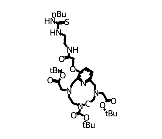 CCCCNC(=S)NCCNC(=O)COc1ccc2nc1CN(CC(=O)OC(C)(C)C)CCN(C(=O)OC(C)(C)C)CCN(CC(=O)OC(C)(C)C)C2